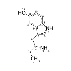 CCC(N)Cc1c[nH]c2ccc(O)cc12